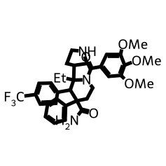 CCC1(C2CCNC2)C(c2ccc(C(F)(F)F)cc2)C(C(N)=O)(c2ccccc2)CCN1C(=O)c1cc(OC)c(OC)c(OC)c1